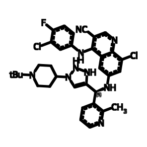 Cc1ncccc1[C@H](Nc1cc(Cl)c2ncc(C#N)c(Nc3ccc(F)c(Cl)c3)c2c1)C1=CN(C2CCN(C(C)(C)C)CC2)NN1